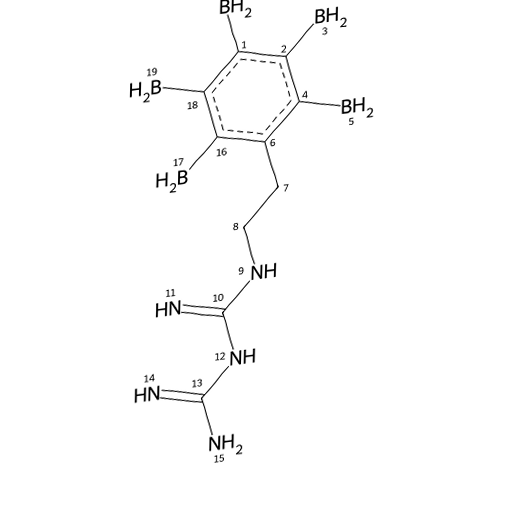 Bc1c(B)c(B)c(CCNC(=N)NC(=N)N)c(B)c1B